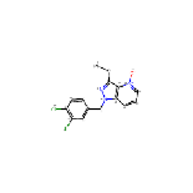 CC(C)Cc1nn(Cc2ccc(Cl)c(F)c2)c2ccc[n+]([O-])c12